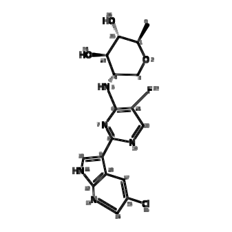 C[C@H]1OC[C@H](Nc2nc(-c3c[nH]c4ncc(Cl)cc34)ncc2F)[C@@H](O)[C@@H]1O